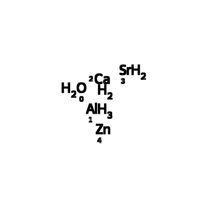 O.[AlH3].[CaH2].[SrH2].[Zn]